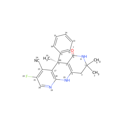 CC1(C)CC2=C(C(=O)N1)[C@](C)(c1ccccc1)c1c(ncc(F)c1C#N)N2